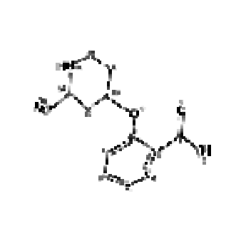 O=C(O)c1ccccc1OC1CCNC(O)C1